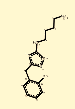 NCCCCNc1nc(Cc2ccccc2F)ns1